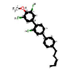 C/C=C\CCc1ccc(-c2ccc(-c3cc(F)c(OC(F)(F)F)c(F)c3)c(F)c2)cc1